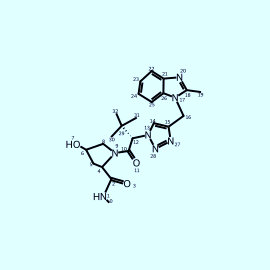 CNC(=O)C1CC(O)CN1C(=O)[C@@H](n1cc(Cn2c(C)nc3ccccc32)nn1)C(C)(C)C